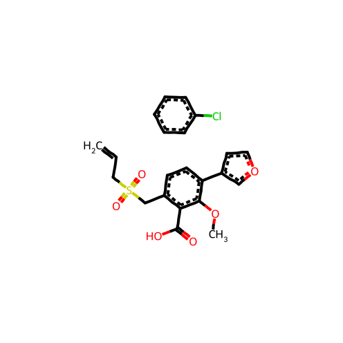 C=CCS(=O)(=O)Cc1ccc(-c2ccoc2)c(OC)c1C(=O)O.Clc1ccccc1